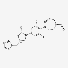 O=CN1CC=NN(c2c(F)cc(N3C[C@H](Cn4ccnn4)OC3=O)cc2F)CC1